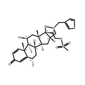 C[C@]12C=CC(=O)C=C1[C@@H](F)C[C@H]1[C@@H]3C[C@H]4CN(Cc5ccsc5)O[C@@]4(C(=O)COS(C)(=O)=O)[C@@]3(C)C[C@H](O)[C@@]12F